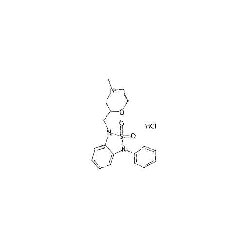 CN1CCOC(CN2c3ccccc3N(c3ccccc3)S2(=O)=O)C1.Cl